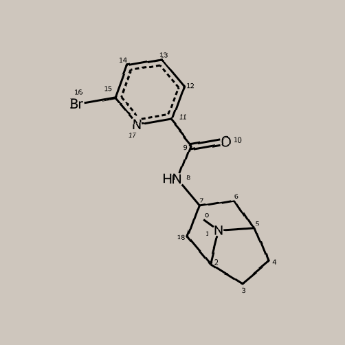 CN1C2CCC1CC(NC(=O)c1cccc(Br)n1)C2